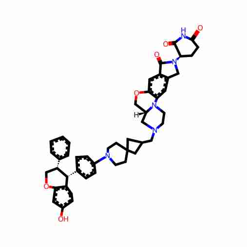 O=C1CC[C@@H](N2Cc3cc4c(cc3C2=O)OC[C@H]2CN(CC3CC5(CCN(c6ccc([C@@H]7c8ccc(O)cc8OC[C@@H]7c7ccccc7)cc6)CC5)C3)CCN42)C(=O)N1